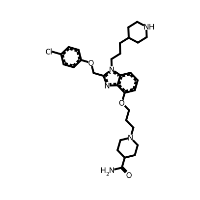 NC(=O)C1CCN(CCCOc2cccc3c2nc(COc2ccc(Cl)cc2)n3CCCC2CCNCC2)CC1